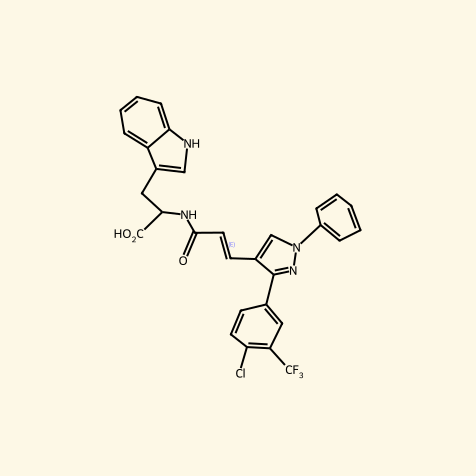 O=C(/C=C/c1cn(-c2ccccc2)nc1-c1ccc(Cl)c(C(F)(F)F)c1)NC(Cc1c[nH]c2ccccc12)C(=O)O